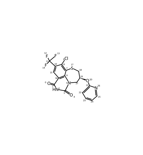 O=c1[nH]c(=O)n2c3c(c(Cl)c(C(F)(F)F)cc13)SC[C@@H](Oc1ccccn1)C2